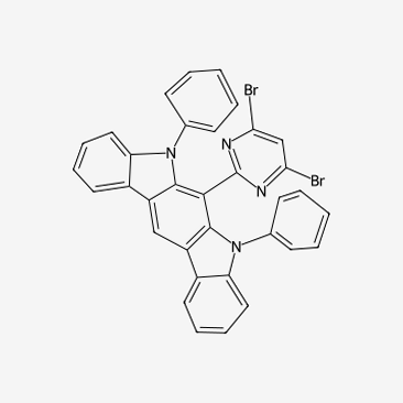 Brc1cc(Br)nc(-c2c3c(cc4c5ccccc5n(-c5ccccc5)c24)c2ccccc2n3-c2ccccc2)n1